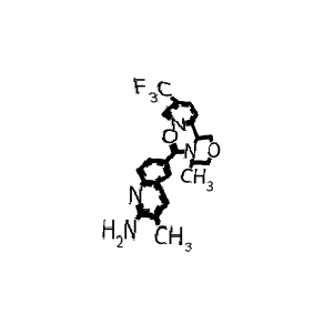 Cc1cc2cc(C(=O)N3C(C)COCC3c3ccc(C(F)(F)F)cn3)ccc2nc1N